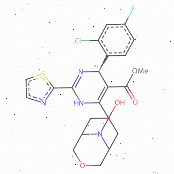 COC(=O)C1=C(CN2C3COCC2CC(O)C3)NC(c2nccs2)=N[C@H]1c1ccc(F)cc1Cl